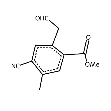 COC(=O)c1cc(I)c(C#N)cc1CC=O